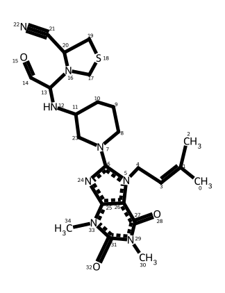 CC(C)=CCn1c(N2CCCC(NC(C=O)N3CSCC3C#N)C2)nc2c1c(=O)n(C)c(=O)n2C